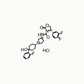 Cl.O=C(N[C@@H]1CCN(C2CCC(O)(c3ccccc3F)CC2)C1)N1C(=O)OC[C@@H]1c1ccc(F)c(F)c1